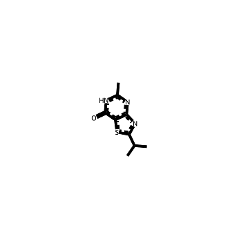 Cc1nc2nc(C(C)C)sc2c(=O)[nH]1